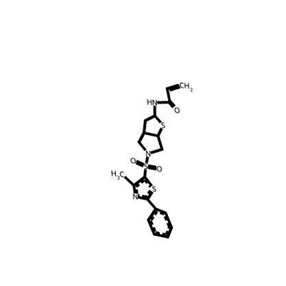 C=CC(=O)NC1CC2CN(S(=O)(=O)c3sc(-c4ccccc4)nc3C)CC2S1